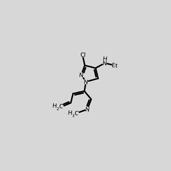 C=C/C=C(\C=N/C)n1cc(NCC)c(Cl)n1